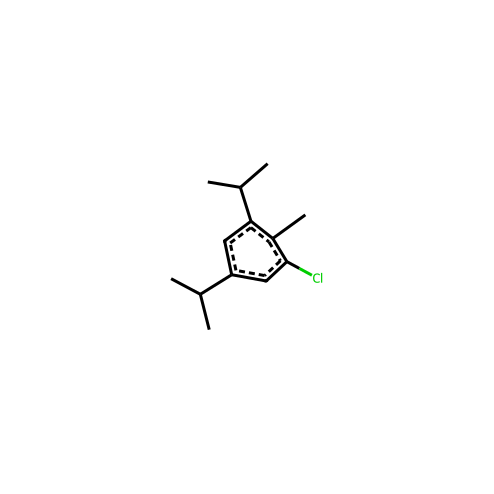 Cc1c(Cl)cc(C(C)C)cc1C(C)C